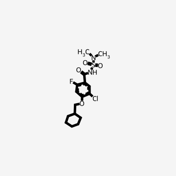 CN(C)S(=O)(=O)NC(=O)c1cc(Cl)c(OCC2CCCCC2)cc1F